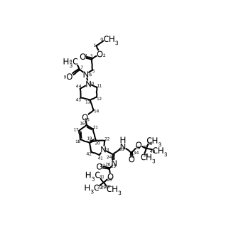 CCOC(=O)CN(C(C)=O)N1CCC(COc2ccc3c(c2)CN(/C(=N\C(=O)OC(C)(C)C)NC(=O)OC(C)(C)C)CC3)CC1